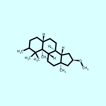 CO[C@@H]1C[C@H]2[C@@H]3CC[C@H]4CCC(C)C(C)(C)[C@]4(C)[C@H]3CC[C@]2(C)C1